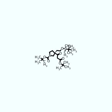 CC(C)(C)OC(=O)CC(=O)[C@@]1(CCO[Si](C)(C)C(C)(C)C)CCN(C(=O)OC(C)(C)C)C1